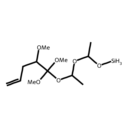 C=CCC(OC)C(OC)(OC)OC(C)OC(C)O[SiH3]